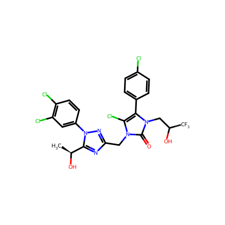 C[C@H](O)c1nc(Cn2c(Cl)c(-c3ccc(Cl)cc3)n(CC(O)C(F)(F)F)c2=O)nn1-c1ccc(Cl)c(Cl)c1